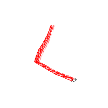 [Al+3].[O-2].[O-2].[O-2].[O-2].[O-2].[O-2].[O-2].[O-2].[O-2].[O-2].[O-2].[O-2].[O-2].[O-2].[O-2].[O-2].[O-2].[O-2].[O-2].[O-2].[O-2].[O-2].[O-2].[O-2].[O-2].[O-2].[O-2].[O-2].[O-2].[O-2].[O-2].[O-2].[O-2].[O-2].[O-2].[O-2].[O-2].[O-2].[O-2].[O-2].[O-2].[O-2].[O-2].[O-2].[O-2].[O-2].[O-2].[O-2].[O-2].[O-2].[O-2].[O-2].[O-2].[O-2].[O-2].[O-2].[O-2].[O-2].[O-2].[O-2].[O-2].[O-2].[O-2].[O-2].[O-2].[O-2].[O-2].[O-2].[O-2].[O-2].[O-2].[O-2].[O-2].[O-2].[O-2].[O-2].[O-2].[O-2].[O-2].[O-2].[O-2].[O-2].[O-2].[O-2].[O-2]